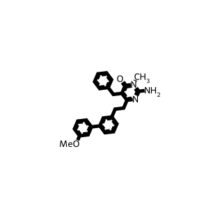 COc1cccc(-c2cccc(CCc3nc(N)n(C)c(=O)c3Cc3ccccc3)c2)c1